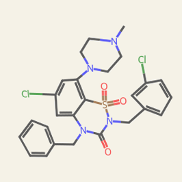 CN1CCN(c2cc(Cl)cc3c2S(=O)(=O)N(Cc2cccc(Cl)c2)C(=O)N3Cc2ccccc2)CC1